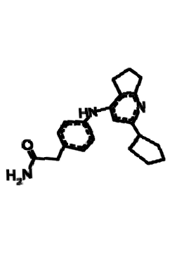 NC(=O)Cc1ccc(Nc2cc(C3CCCC3)nc3c2CCC3)cc1